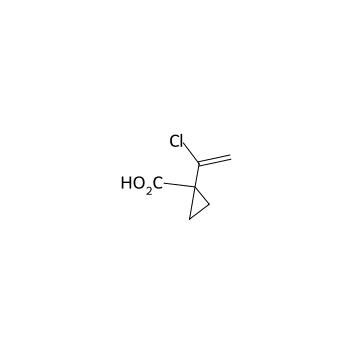 C=C(Cl)C1(C(=O)O)CC1